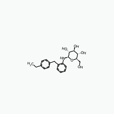 CCc1ccc(Cc2ccccc2N[C@@H]2O[C@H](CO)[C@@H](O)[C@H](O)[C@H]2O)cc1